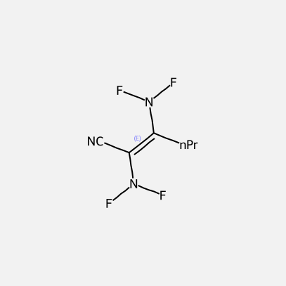 CCC/C(=C(/C#N)N(F)F)N(F)F